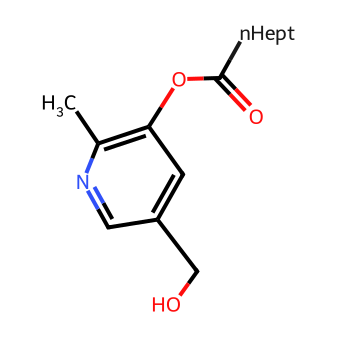 CCCCCCCC(=O)Oc1cc(CO)cnc1C